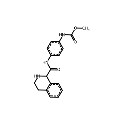 COC(=O)Nc1ccc(NC(=O)C2NCCc3ccccc32)cc1